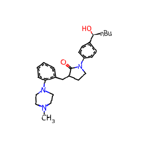 CCCC[C@H](O)c1ccc(N2CCC(Cc3ccccc3N3CCN(C)CC3)C2=O)cc1